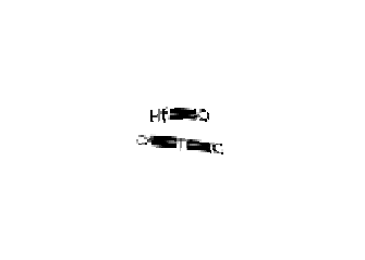 [O]=[Hf].[O]=[Ti]=[O]